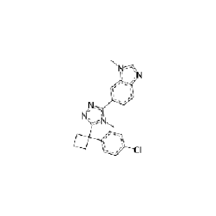 Cn1c(-c2ccc3ncn(C)c3c2)nnc1C1(c2ccc(Cl)cc2)CCC1